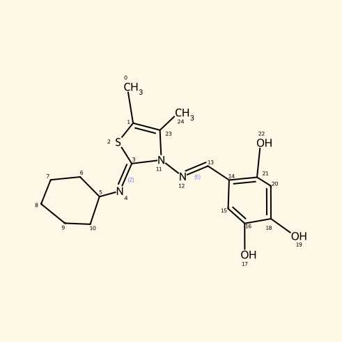 Cc1s/c(=N\C2CCCCC2)n(/N=C/c2cc(O)c(O)cc2O)c1C